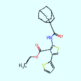 CCOC(=O)c1c(-c2cccs2)csc1NC(=O)C12CC3CC(CC1C3)C2